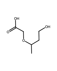 CC(CCO)OCC(=O)O